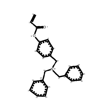 C=CC(=O)Oc1ccc(CN(Cc2ccccc2)Cc2ccccc2)cc1